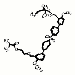 C=C(C)C(=O)OCCOCc1cc(-c2ccc(S(=O)(=O)c3ccc(-c4ccc(OC)c(COCC(C)(C)CC)c4)cc3)cc2)ccc1OC